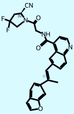 C/C(=C\c1ccc2nccc(C(=O)NCC(=O)N3CC(F)(F)C[C@H]3C#N)c2c1)c1ccc2ccoc2c1